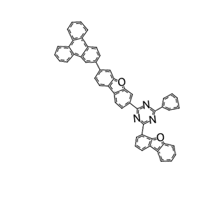 c1ccc(-c2nc(-c3ccc4c(c3)oc3cc(-c5ccc6c7ccccc7c7ccccc7c6c5)ccc34)nc(-c3cccc4c3oc3ccccc34)n2)cc1